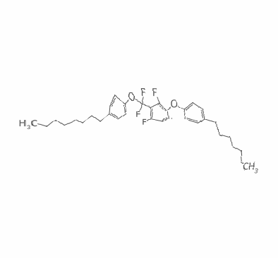 CCCCCCCCc1ccc(OC(F)(F)c2c(F)c[c]c(Oc3ccc(CCCCCCC)cc3)c2F)cc1